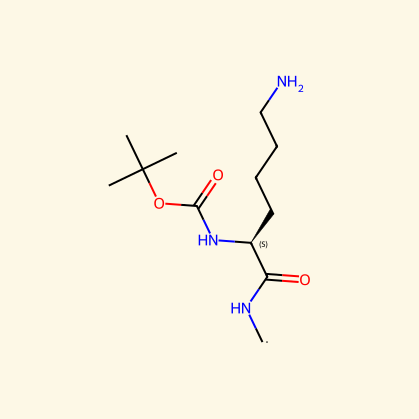 [CH2]NC(=O)[C@H](CCCCN)NC(=O)OC(C)(C)C